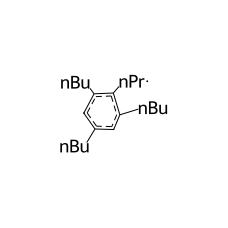 CC[CH]c1c(CCCC)cc(CCCC)cc1CCCC